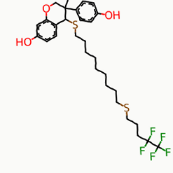 CC1(c2ccc(O)cc2)COc2cc(O)ccc2C1SCCCCCCCCCSCCCC(F)(F)C(F)(F)F